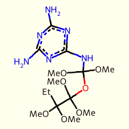 CCC(OC)(OC)C(OC)(OC)OC(Nc1nc(N)nc(N)n1)(OC)OC